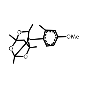 COc1ccc(P2C3(C)CC4(C)OC(C)(CC2(C)O4)O3)c(C)c1